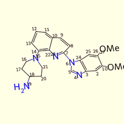 COc1cc2ncn(-c3ccc4cccc(N5CCC(N)CC5)c4n3)c2cc1OC